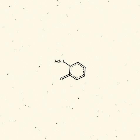 CC(=O)Nn1ccccc1=O